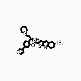 CC(C)(C)[C@H]1CCc2nc3sc(C(=O)NC(CCN4CCCCC4)c4ccc(-c5ccoc5)cc4)cc3cc2C1